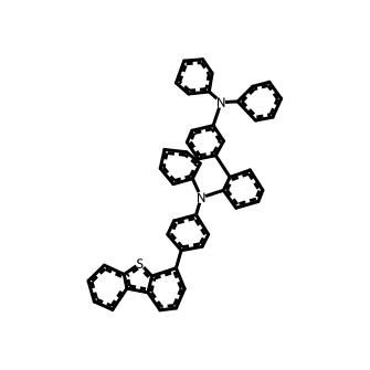 c1ccc(N(c2ccccc2)c2cccc(-c3ccccc3N(c3ccccc3)c3ccc(-c4cccc5c4sc4ccccc45)cc3)c2)cc1